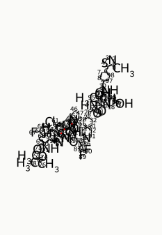 Cc1ncsc1-c1ccc(CNC(=O)[C@@H]2C[C@@H](O)CN2C(=O)[C@@H](NC(=O)CC2CCC3(CC2)CCN(C[C@@]2(COc4nc(N5CC6CCC(C5)N6C(=O)OC(C)(C)C)c5cc(Cl)c(-c6ccc(F)c7sc(NC(=O)OC(C)(C)C)c(C#N)c67)c(F)c5n4)CC2(F)F)CC3)C(C)(C)C)cc1